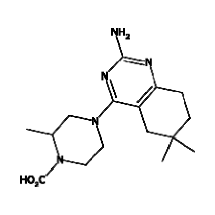 CC1CN(c2nc(N)nc3c2CC(C)(C)CC3)CCN1C(=O)O